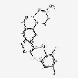 CCOC(=O)c1cnc2cc(OCC)c(N3CCN(C)CC3)cc2c1Nc1ccc(F)cc1F